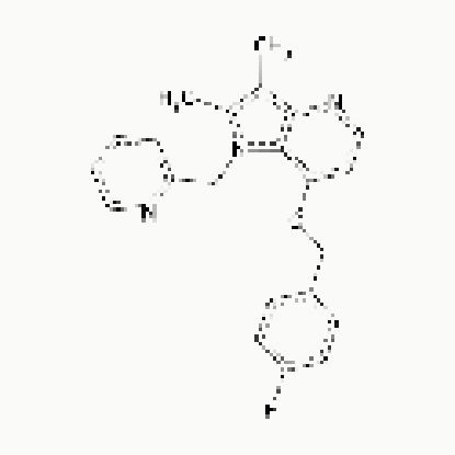 Cc1c(C)n(Cc2ccccn2)c2c(OCc3ccc(F)cc3)ccnc12